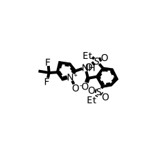 CCS(=O)(=O)c1cccc(S(=O)(=O)CC)c1C(=O)Nc1ccc(C(C)(F)F)c[n+]1[O-]